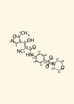 Cc1oncc1/C(O)=C(\C#N)C(=O)Nc1ccc(S(=O)(=O)N2CCOCC2)cc1